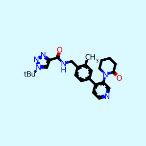 Cc1cc(-c2ccncc2N2CCC[CH]C2=O)ccc1CNC(=O)c1cn(C(C)(C)C)nn1